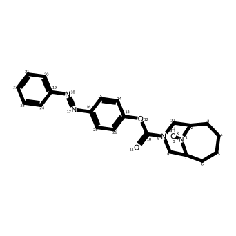 CN1C2CCCCC1CN(C(=O)Oc1ccc(N=Nc3ccccc3)cc1)C2